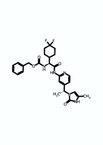 Cc1cn([C@H](C)c2ccnc(NC(=O)[C@@H](NC(=O)OCc3ccccc3)C3CCC(F)(F)CC3)c2)c(=O)[nH]1